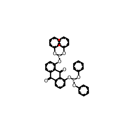 O=C1c2cccc(OP(Oc3ccccc3)Oc3ccccc3)c2C(=O)c2c(OP(Oc3ccccc3)Oc3ccccc3)cccc21